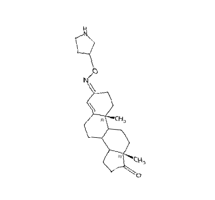 C[C@]12CCC(=NOC3CCNC3)C=C1CCC1C2CC[C@]2(C)C(=O)CCC12